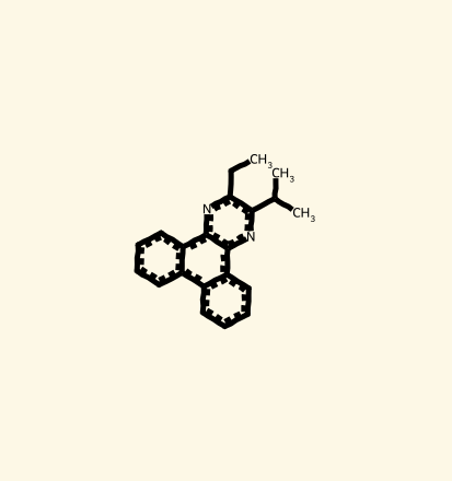 CCc1nc2c3ccccc3c3ccccc3c2nc1C(C)C